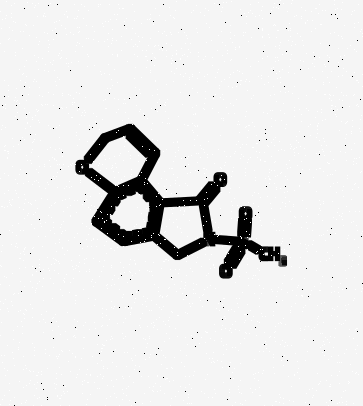 CS(=O)(=O)N1Cc2ccc3c(c2C1=O)C=CCO3